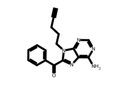 C#CCCCn1c(C(=O)c2ccccc2)nc2c(N)ncnc21